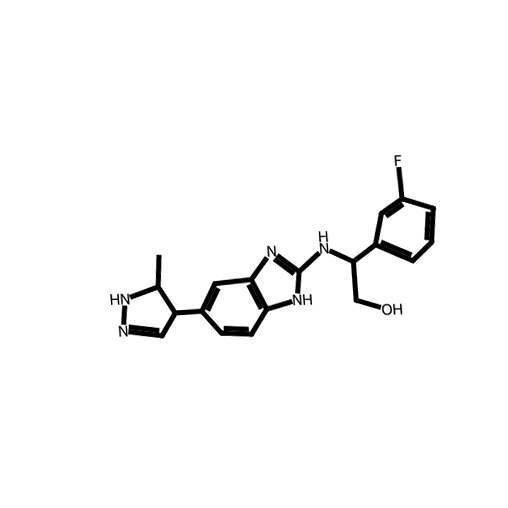 CC1NN=CC1c1ccc2[nH]c(NC(CO)c3cccc(F)c3)nc2c1